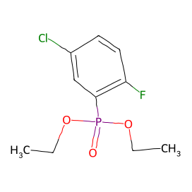 CCOP(=O)(OCC)c1cc(Cl)ccc1F